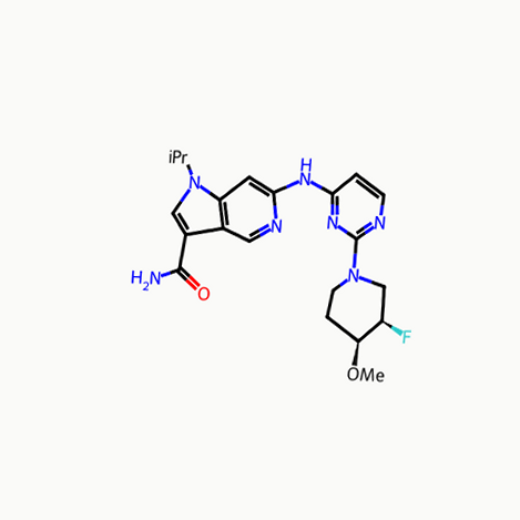 CO[C@H]1CCN(c2nccc(Nc3cc4c(cn3)c(C(N)=O)cn4C(C)C)n2)C[C@H]1F